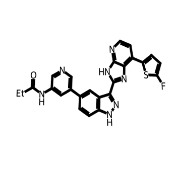 CCC(=O)Nc1cncc(-c2ccc3[nH]nc(-c4nc5c(-c6ccc(F)s6)ccnc5[nH]4)c3c2)c1